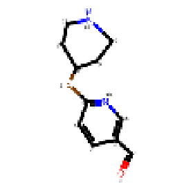 O=Cc1ccc(SC2CCNCC2)nc1